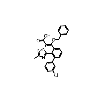 Cc1nc2c3c(-c4cccc(Cl)c4)cccc3c(OCc3ccccc3)c(C(=O)O)n2n1